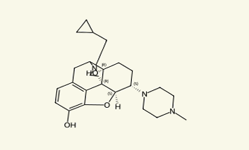 CN1CCN([C@H]2CC[C@]3(O)C4Cc5ccc(O)c6c5[C@]3(CCN4CC3CC3)[C@@H]2O6)CC1